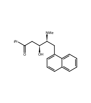 CN[C@@H](Cc1cccc2ccccc12)[C@@H](O)CC(=O)C(C)C